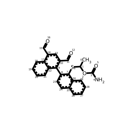 CC(OC(N)=O)Sc1c(-c2c(C=O)cc(C=O)c3ccccc23)ccc2ccccc12